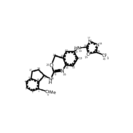 COc1cccc2c1C(NC1=Nc3ccc(Nc4nnc(C(F)(F)F)o4)cc3CO1)CC2